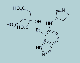 CCc1c(NN2C=NCC2)ccc2cn[nH]c12.O=C(O)CC(O)(CC(=O)O)C(=O)O